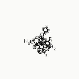 COc1c2n(cc(C(N)=O)c1=O)[C@@H]1CN(C2=O)[C@@H](C)CC[C@]12CC(OCc1ccccc1)N(Cc1c(F)cc(F)cc1F)O2